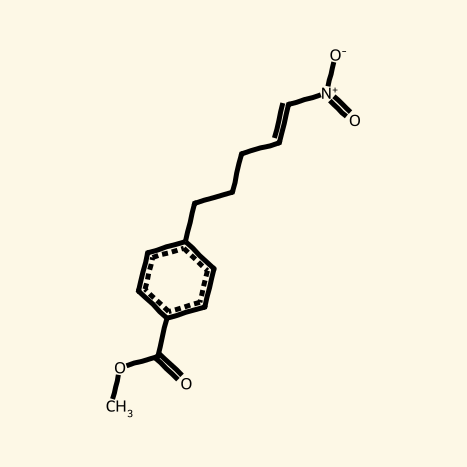 COC(=O)c1ccc(CCCC=C[N+](=O)[O-])cc1